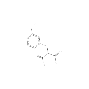 NC(=O)C(Cc1cccc(OC(F)(F)F)c1)C(N)=O